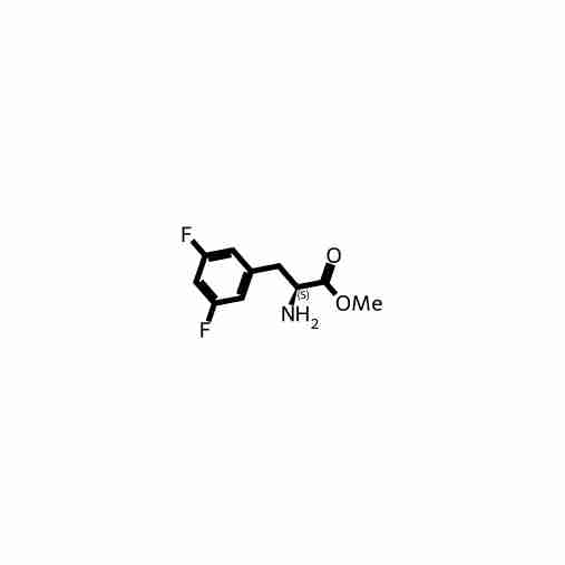 COC(=O)[C@@H](N)Cc1cc(F)cc(F)c1